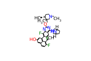 C#Cc1c(F)ccc2cc(O)cc(-c3c(F)cc4c(N5C[C@H]6CC[C@@H](C5)N6)nc(OC[C@]5(C)CN(CC)CC[C@H]5C#C)nc4c3F)c12